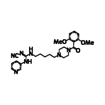 COc1cccc(OC)c1C(=O)N1CCN(CCCCCNC(=NC#N)Nc2cccnc2)CC1